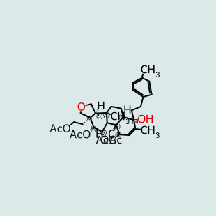 CC(=O)OCC[C@]12COC[C@H]1[C@]1(C)CC[C@@H]3[C@@](C)(C1[C@H](OC(C)=O)[C@@H]2OC(C)=O)[C@H](OC(C)=O)C=C(C)[C@]3(O)CCc1ccc(C)cc1